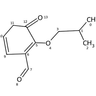 CC(C)COC1=C(C=O)C=CCC1=O